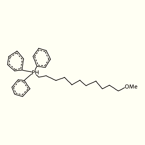 COCCCCCCCCCCC[PH](c1ccccc1)(c1ccccc1)c1ccccc1